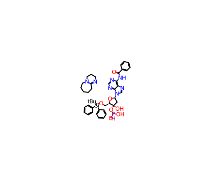 C1CCC2=NCCCN2CC1.CC(C)(C)[Si](OC[C@H]1O[C@@H](n2cnc3c(NC(=O)c4ccccc4)ncnc32)C[C@]1(O)O[PH](=O)O)(c1ccccc1)c1ccccc1